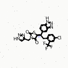 O=C1S/C(=C(/Cc2ccc(Cl)cc2C(F)(F)F)c2ccc3[nH]nnc3c2)C(=O)N1Cc1c[nH]nn1